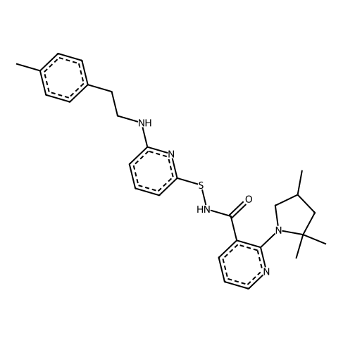 Cc1ccc(CCNc2cccc(SNC(=O)c3cccnc3N3CC(C)CC3(C)C)n2)cc1